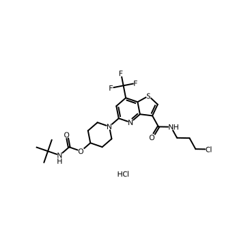 CC(C)(C)NC(=O)OC1CCN(c2cc(C(F)(F)F)c3scc(C(=O)NCCCCl)c3n2)CC1.Cl